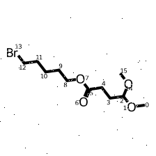 COC(CCC(=O)OCCCCCBr)OC